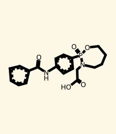 O=C(O)CN1CCCCOP1(=O)c1ccc(NC(=O)c2ccccc2)cc1